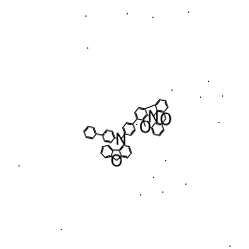 c1ccc(-c2ccc(N(c3ccc(-c4ccc5c6cccc7c6n6c5c4Oc4cccc(c4-6)O7)cc3)c3cccc4oc5ccccc5c34)cc2)cc1